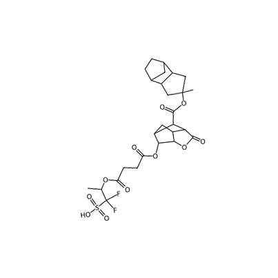 CC(OC(=O)CCC(=O)OC1C2CC3C1OC(=O)C3C2C(=O)OC1(C)CC2C3CCC(C3)C2C1)C(F)(F)S(=O)(=O)O